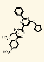 O=C(O)C[C@H](NC(=O)c1cc(OC2CCCC2)nc(-c2ccccc2)n1)C(=O)N1CCN(C(=O)O)CC1